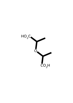 CC(OC(C)C(=O)O)C(=O)O